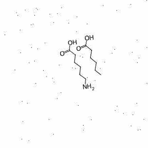 CCCCCC(=O)O.NCCCCCC(=O)O